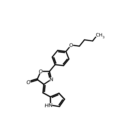 CCCCOc1ccc(C2=N/C(=C\c3ccc[nH]3)C(=O)O2)cc1